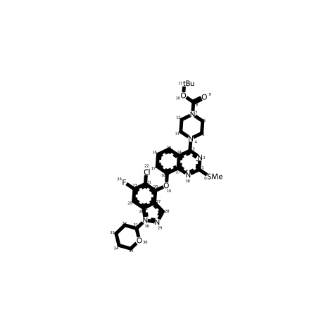 CSc1nc(N2CCN(C(=O)OC(C)(C)C)CC2)c2cccc(Oc3c(Cl)c(F)cc4c3cnn4C3CCCCO3)c2n1